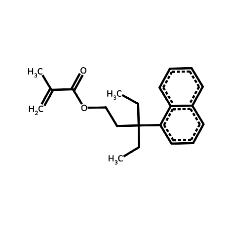 C=C(C)C(=O)OCCC(CC)(CC)c1cccc2ccccc12